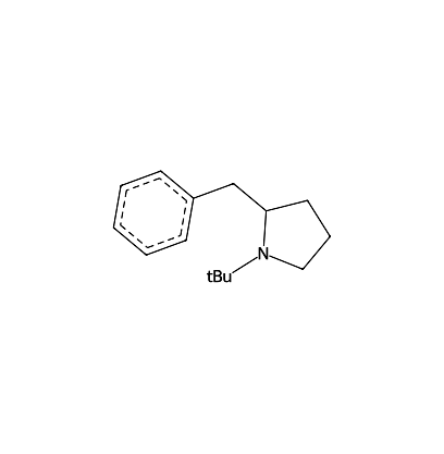 CC(C)(C)N1CCCC1Cc1ccccc1